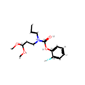 CCCN(CCC(OC)OC)C(=O)Oc1ccccc1F